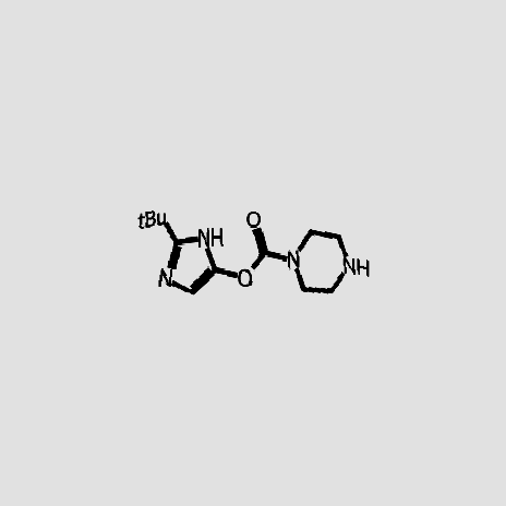 CC(C)(C)c1ncc(OC(=O)N2CCNCC2)[nH]1